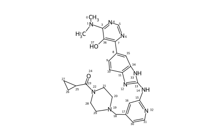 CN(C)c1ncnc(-c2ccc3nc(Nc4cc(CN5CCN(C(=O)C6CC6)CC5)ccn4)[nH]c3c2)c1O